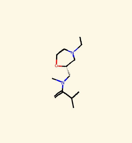 C=C(C(C)C)N(C)C[C@H]1CN(CC)CCO1